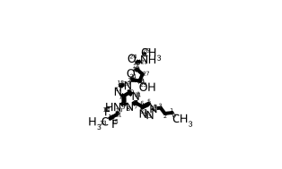 CCCCn1cc(-c2nc(NCC(C)(F)F)c3ncn([C@@H]4O[C@H](C(=O)NC)C[C@H]4O)c3n2)nn1